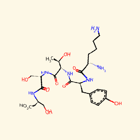 C[C@@H](O)[C@H](NC(=O)[C@H](Cc1ccc(O)cc1)NC(=O)[C@@H](N)CCCCN)C(=O)N[C@@H](CO)C(=O)N[C@@H](CO)C(=O)O